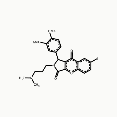 COc1ccc(C2c3c(oc4ccc(I)cc4c3=O)C(=O)N2CCCN(C)C)cc1OC